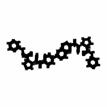 O=C(Nc1ccc2cc(-c3cnc(NC(=O)[C@@H]4CCCN4C(=O)OCc4ccccc4)nc3)ccc2n1)[C@@H]1CCCN1C(=O)Cc1ccccc1